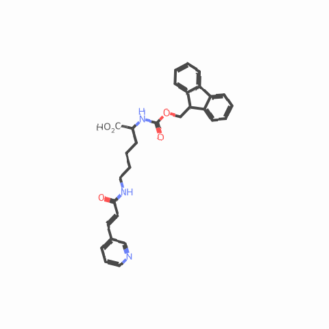 O=C(/C=C/c1cccnc1)NCCCCC(NC(=O)OCC1c2ccccc2-c2ccccc21)C(=O)O